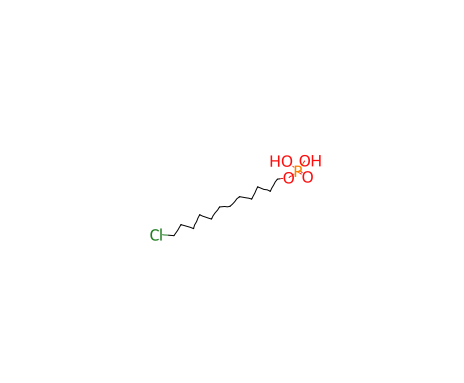 O=P(O)(O)OCCCCCCCCCCCCCl